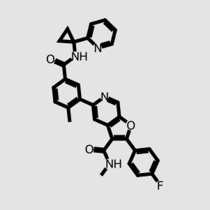 CNC(=O)c1c(-c2ccc(F)cc2)oc2cnc(-c3cc(C(=O)NC4(c5ccccn5)CC4)ccc3C)cc12